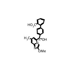 COc1cn2c([C@H](O)c3ccc(-c4ccccc4C(=O)O)cc3)cc(C)cc2n1